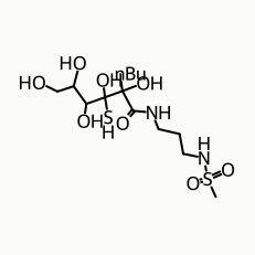 CCCCC(O)(C(=O)NCCCNS(C)(=O)=O)C(O)(S)C(O)C(O)CO